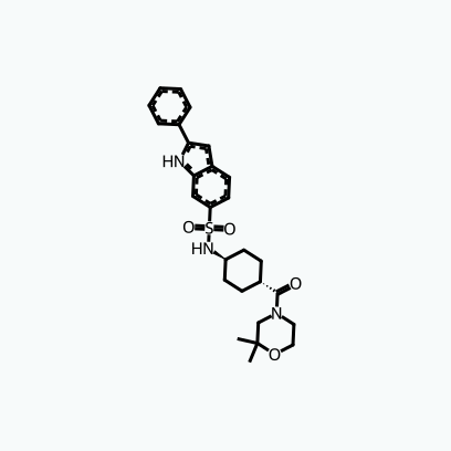 CC1(C)CN(C(=O)[C@H]2CC[C@H](NS(=O)(=O)c3ccc4cc(-c5ccccc5)[nH]c4c3)CC2)CCO1